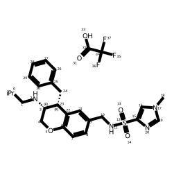 CC(C)CN[C@H]1COc2ccc(CNS(=O)(=O)c3cn(C)cn3)cc2[C@H]1Cc1ccccc1.O=C(O)C(F)(F)F